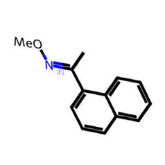 CO/N=C(\C)c1cccc2ccccc12